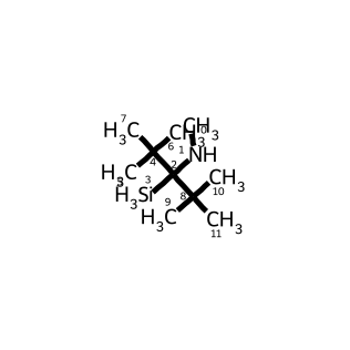 CNC([SiH3])(C(C)(C)C)C(C)(C)C